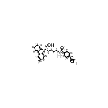 [O-][S+](NCCCC[C@H](CO)N1C2=CCCC=C2C2C=C(F)C=CC21)c1ccc(OC(F)(F)F)cc1